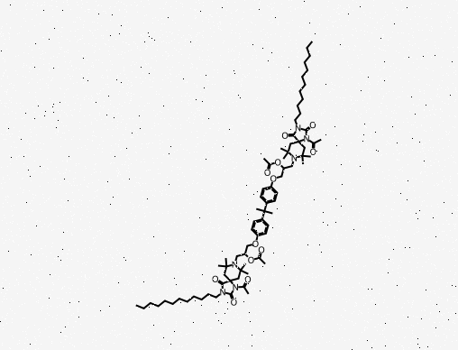 CCCCCCCCCCCCN1C(=O)N(C(C)=O)C2(CC(C)(C)N(CC(COc3ccc(C(C)(C)c4ccc(OCC(CN5C(C)(C)CC6(CC5(C)C)C(=O)N(CCCCCCCCCCCC)C(=O)N6C(C)=O)OC(C)=O)cc4)cc3)OC(C)=O)C(C)(C)C2)C1=O